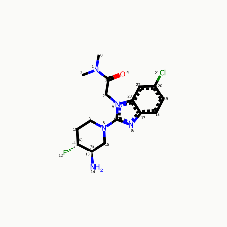 CN(C)C(=O)Cn1c(N2CC[C@@H](F)[C@H](N)C2)nc2ccc(Cl)cc21